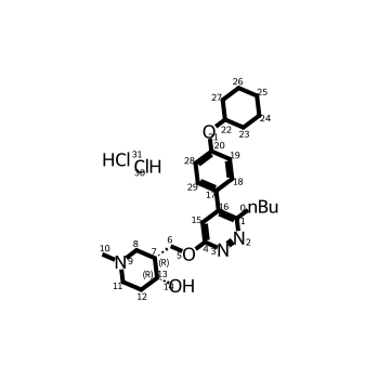 CCCCc1nnc(OC[C@H]2CN(C)CC[C@H]2O)cc1-c1ccc(OC2CCCCC2)cc1.Cl.Cl